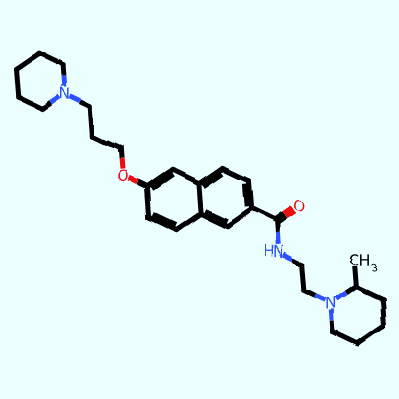 CC1CCCCN1CCNC(=O)c1ccc2cc(OCCCN3CCCCC3)ccc2c1